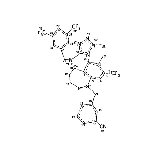 Cc1cc2c(cc1C(F)(F)F)N(Cc1cccc(C#N)c1)CCC[C@@H]2N(Cc1cc(C(F)(F)F)cc(C(F)(F)F)c1)c1nnn(C)n1